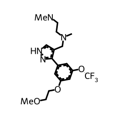 CNCCN(C)Cc1c[nH]nc1-c1cc(OCCOC)cc(OC(F)(F)F)c1